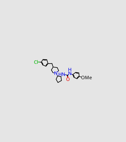 COc1ccc(NC(=O)N[C@@H]2CCC[C@H]2N2CCC(Cc3ccc(Cl)cc3)CC2)cc1